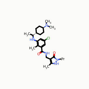 Cc1[nH]n(C(C)C)c(=O)c1CNC(=O)c1cc(Cl)cc(NC(C)[C@H]2CC[C@H](N(C)C)CC2)c1C